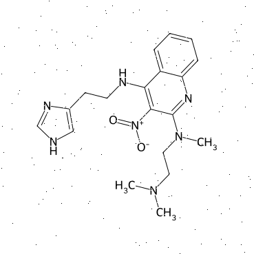 CN(C)CCN(C)c1nc2ccccc2c(NCCc2c[nH]cn2)c1[N+](=O)[O-]